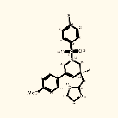 COc1ccc(C2=C[C@](C)(CC3OCCO3)CN(S(=O)(=O)c3ccc(C)cc3)C2)cc1